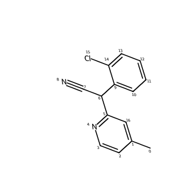 Cc1ccnc(C(C#N)c2ccccc2Cl)c1